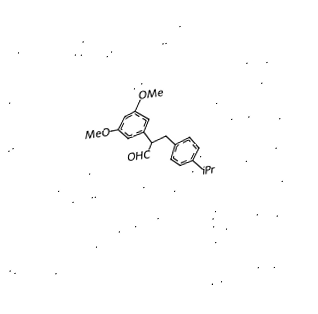 COc1cc(OC)cc(C(C=O)Cc2ccc(C(C)C)cc2)c1